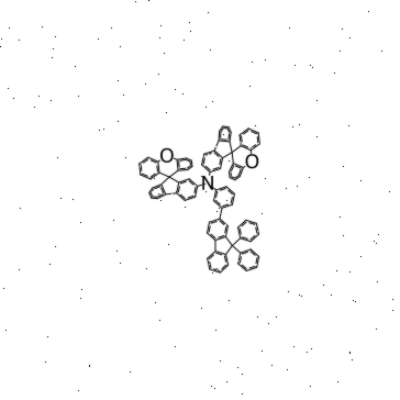 c1ccc(C2(c3ccccc3)c3ccccc3-c3ccc(-c4cccc(N(c5ccc6c(c5)C5(c7ccccc7Oc7ccccc75)c5ccccc5-6)c5ccc6c(c5)C5(c7ccccc7Oc7ccccc75)c5ccccc5-6)c4)cc32)cc1